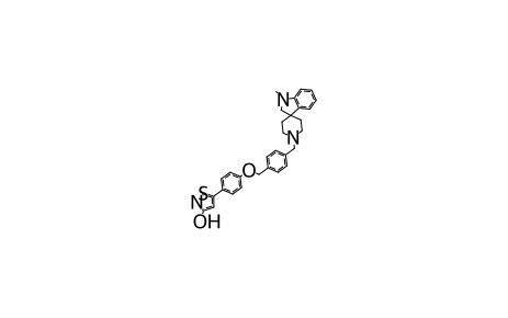 CN1CC2(CCN(Cc3ccc(COc4ccc(-c5cc(O)ns5)cc4)cc3)CC2)c2ccccc21